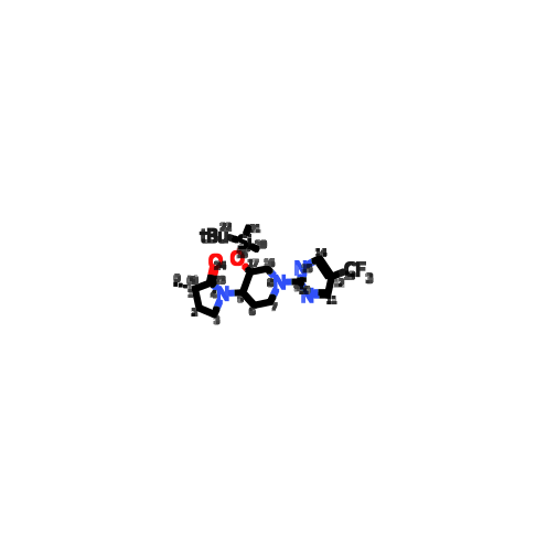 C[C@H]1CCN(C2CCN(c3ncc(C(F)(F)F)cn3)CC2O[Si](C)(C)C(C)(C)C)C1=O